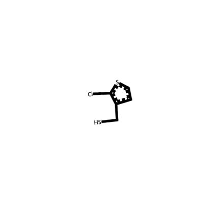 SCc1ccsc1Cl